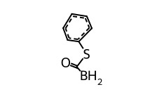 BC(=O)Sc1ccccc1